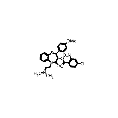 COc1ccc([C@@H]2Sc3ccccc3N(CCN(C)C)C(=O)[C@@H]2OC(=O)c2ccc(Cl)cc2[N+](=O)[O-])cc1